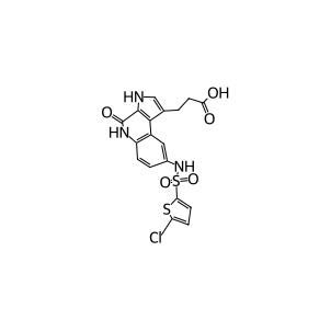 O=C(O)CCc1c[nH]c2c(=O)[nH]c3ccc(NS(=O)(=O)c4ccc(Cl)s4)cc3c12